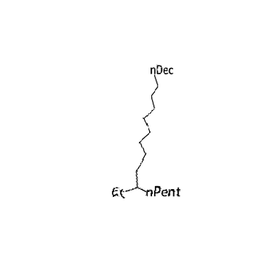 [CH2]CCCCCCCCCCCCCCCCCC(CC)CCCC[CH2]